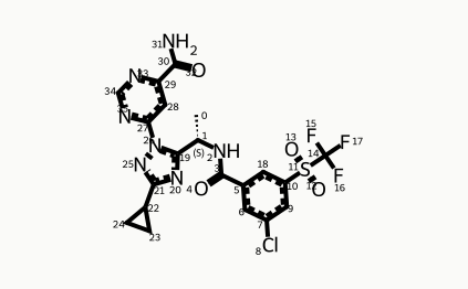 C[C@H](NC(=O)c1cc(Cl)cc(S(=O)(=O)C(F)(F)F)c1)c1nc(C2CC2)nn1-c1cc(C(N)=O)ncn1